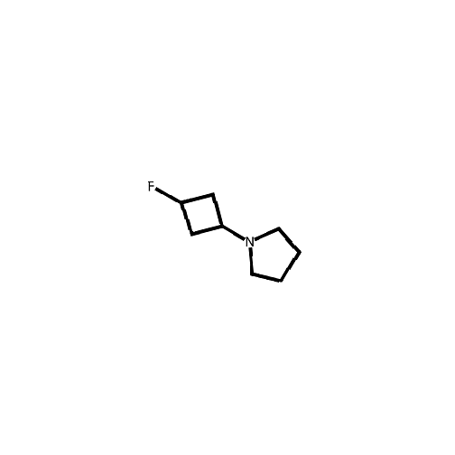 FC1CC(N2CCCC2)C1